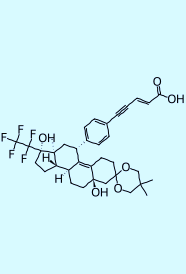 CC1(C)COC2(CCC3=C4[C@@H](CC[C@@]3(O)C2)[C@@H]2CC[C@@](O)(C(F)(F)C(F)(F)F)[C@@]2(C)C[C@@H]4c2ccc(C#CC=CC(=O)O)cc2)OC1